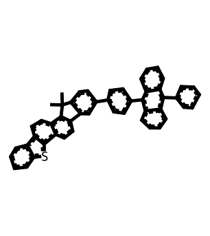 CC1(C)c2ccc(-c3ccc(-c4c5ccccc5c(-c5ccccc5)c5ccccc45)cc3)cc2-c2ccc3c(ccc4c5ccccc5sc34)c21